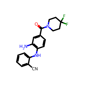 N#Cc1ccccc1Nc1ccc(C(=O)N2CCC(F)(F)CC2)cc1N